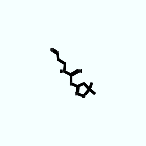 CC1(C)CC(SC(=N)NCCN=O)=NO1